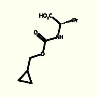 CC(C)[C@H](NC(=O)OCC1CC1)C(=O)O